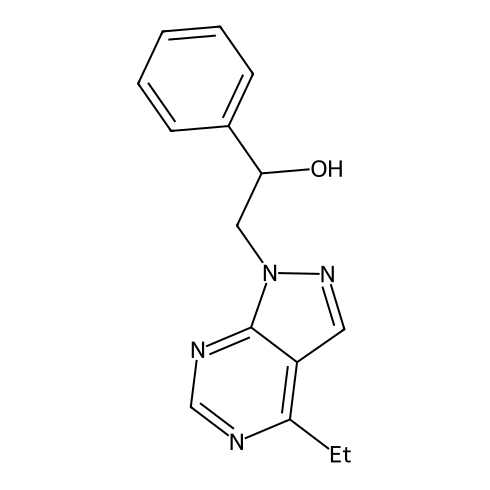 CCc1ncnc2c1cnn2CC(O)c1ccccc1